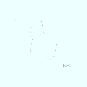 BN1CCC2C(C1)CN2C